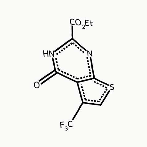 CCOC(=O)c1nc2scc(C(F)(F)F)c2c(=O)[nH]1